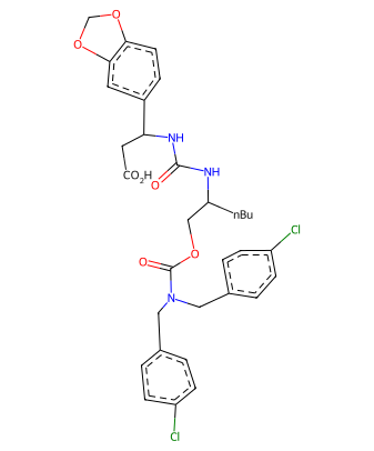 CCCCC(COC(=O)N(Cc1ccc(Cl)cc1)Cc1ccc(Cl)cc1)NC(=O)NC(CC(=O)O)c1ccc2c(c1)OCO2